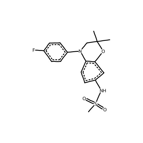 CC1(C)CN(c2ccc(F)cc2)c2ccc(NS(C)(=O)=O)cc2O1